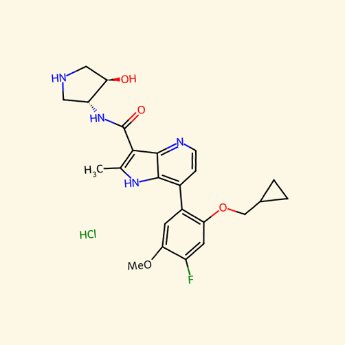 COc1cc(-c2ccnc3c(C(=O)N[C@@H]4CNC[C@H]4O)c(C)[nH]c23)c(OCC2CC2)cc1F.Cl